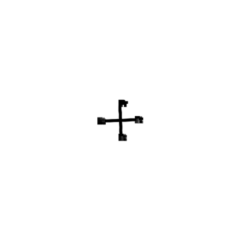 [CH2]C(C)C(CC)(CC)CC